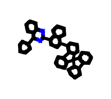 c1ccc(-c2nc(-c3ccc(-c4cccc5c4-c4ccccc4C54c5ccccc5-c5ccccc54)c4ccccc34)nc3ccccc23)cc1